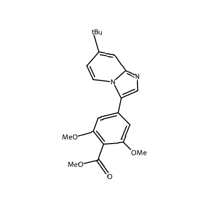 COC(=O)c1c(OC)cc(-c2cnc3cc(C(C)(C)C)ccn23)cc1OC